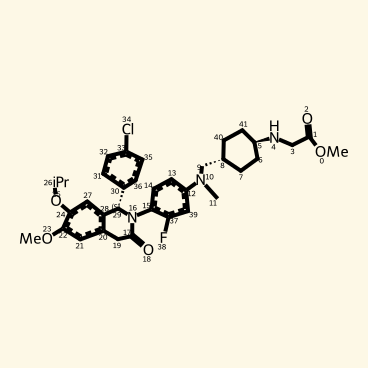 COC(=O)CN[C@H]1CC[C@H](CN(C)c2ccc(N3C(=O)Cc4cc(OC)c(OC(C)C)cc4[C@@H]3c3ccc(Cl)cc3)c(F)c2)CC1